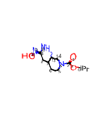 CC(C)OC(=O)N1CCC(C/C(N)=N\O)CC1